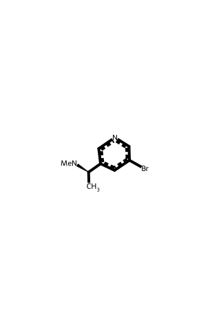 CN[C@H](C)c1cncc(Br)c1